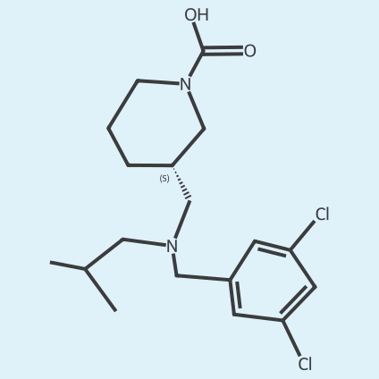 CC(C)CN(Cc1cc(Cl)cc(Cl)c1)C[C@@H]1CCCN(C(=O)O)C1